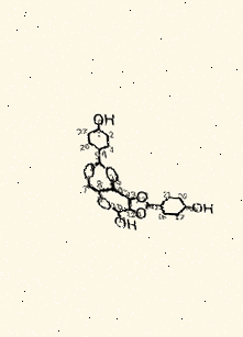 OC1CCC(C2OCC3OC(O)C4OC(C5CCC(O)CC5)OC4C3O2)CC1